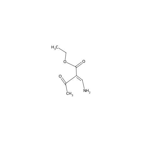 CCOC(=O)C(=CN)C(C)=O